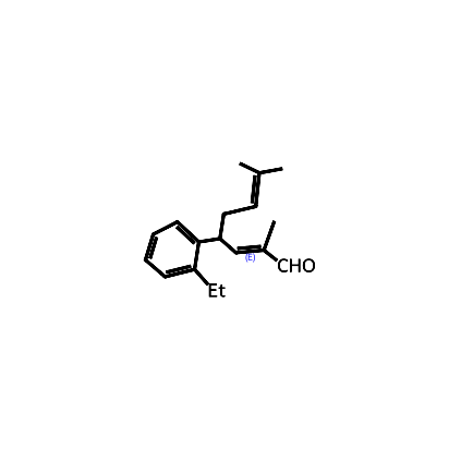 CCc1ccccc1C(/C=C(\C)C=O)CC=C(C)C